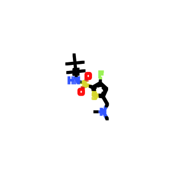 CN(C)Cc1cc(F)c(S(=O)(=O)N[Si](C)(C)C(C)(C)C)s1